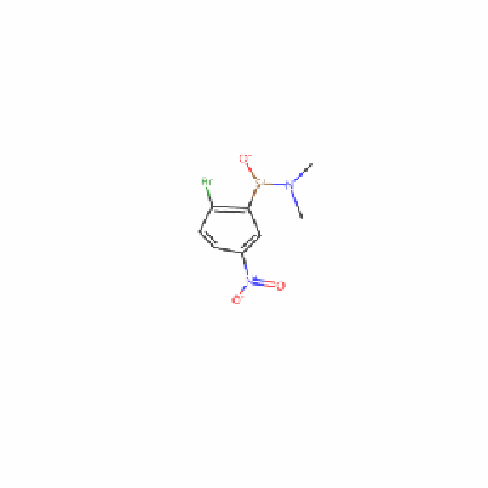 CN(C)[S+]([O-])c1cc([N+](=O)[O-])ccc1Br